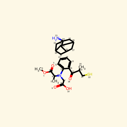 COC(=O)C(C)N(CC(=O)O)c1ccccc1C(=O)C(C)CS.NC12CC3CC(CC(C3)C1)C2